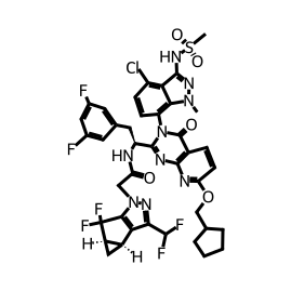 Cn1nc(NS(C)(=O)=O)c2c(Cl)ccc(-n3c([C@H](Cc4cc(F)cc(F)c4)NC(=O)Cn4nc(C(F)F)c5c4C(F)(F)[C@@H]4C[C@H]54)nc4nc(OCC5CCCC5)ccc4c3=O)c21